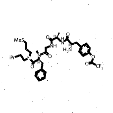 CSCCCN(CCC(C)C)C(=O)[C@H](Cc1ccccc1)N(C)C(=O)CNC(=O)[C@@H](C)NC(=O)[C@@H](N)Cc1ccc(OC(=O)C(F)(F)F)cc1